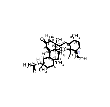 C[C@@H]1CC/C(=N\O)C(C)(C)C1CC[C@]1(C)[C@@H](C)C(=O)C=C2[C@@H]3C[C@@](C)(NC(N)=O)CC[C@]3(C)CC[C@]21C